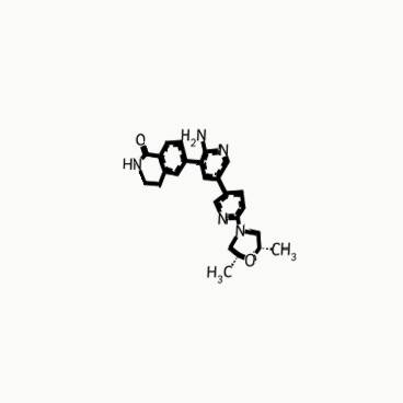 C[C@@H]1CN(c2ccc(-c3cnc(N)c(-c4ccc5c(c4)CCNC5=O)c3)cn2)C[C@H](C)O1